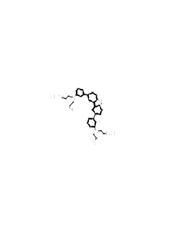 NCCN(CCN)c1cccc(-c2ccc3[nH]c4ccc(-c5cccc(N(CCN)CCN)c5)cc4c3c2)c1